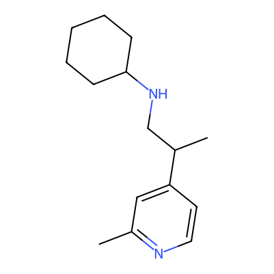 Cc1cc(C(C)CNC2CCCCC2)ccn1